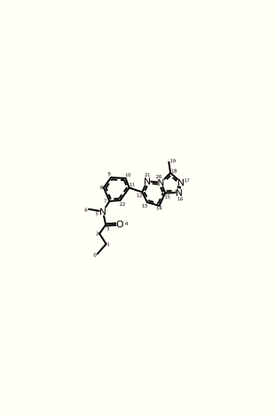 CCCC(=O)N(C)c1cccc(-c2ccc3nnc(C)n3n2)c1